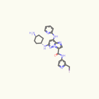 N[C@H]1CC[C@H](Nc2cc(Nc3ccccn3)c3ncc(C(=O)Nc4ccnc(CI)c4)n3n2)CC1